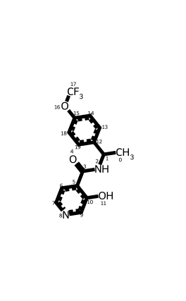 CC(NC(=O)c1ccncc1O)c1ccc(OC(F)(F)F)cc1